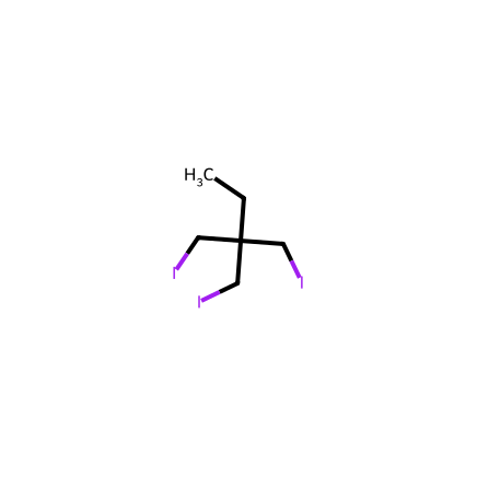 CCC(CI)(CI)CI